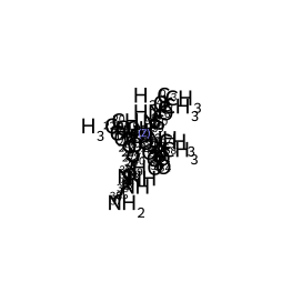 CC(C)(C)OC(=O)Nc1nc(/C(=N/OC(C)(C(=O)OC(C)(C)C)[C@H]2CCc3cc(C4CN=C(NCCCN)NC4)ccc3O2)C(=O)NC2C(=O)N(OS(=O)(=O)O)C2(C)C)cs1